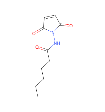 CCCCCC(=O)NN1C(=O)C=CC1=O